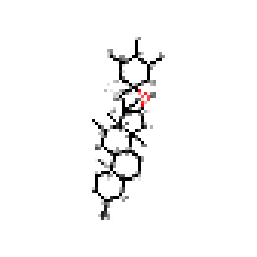 CC[C@H]1CC[C@@]2(C)C(CCC3C2CC(C)[C@@]2(C)C3(C)CC3OC4(CC(C)C(C)C(C)C4)[C@@H](C)C32C)C1